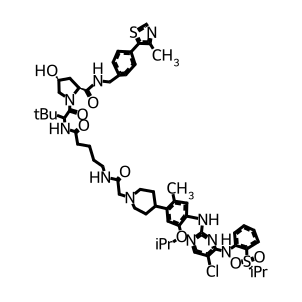 Cc1cc(Nc2ncc(Cl)c(Nc3ccccc3S(=O)(=O)C(C)C)n2)c(OC(C)C)cc1C1CCN(CC(=O)NCCCCC(=O)NC(C(=O)N2C[C@H](O)C[C@H]2C(=O)NCc2ccc(-c3scnc3C)cc2)C(C)(C)C)CC1